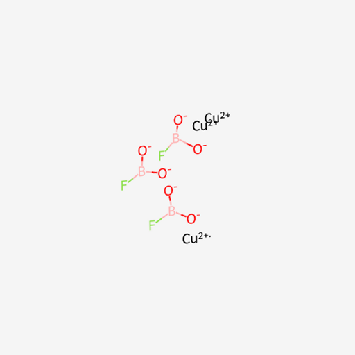 [Cu+2].[Cu+2].[Cu+2].[O-]B([O-])F.[O-]B([O-])F.[O-]B([O-])F